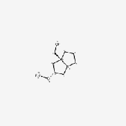 OC[C@@]12CCCN1C[C@H](OC(F)(F)F)C2